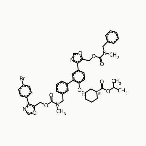 CC(C)OC(=O)[C@H]1CCC[C@H](Oc2ccc(-c3ncoc3COC(=O)N(C)Cc3ccccc3)cc2-c2cccc(CN(C)C(=O)OCc3ocnc3-c3ccc(Br)cc3)c2)C1